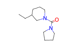 CCC1CCCN(C(=O)N2CCCC2)C1